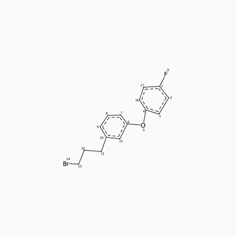 Fc1ccc(Oc2cccc(CCCBr)c2)cc1